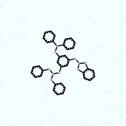 c1ccc(OB(Oc2ccccc2)Oc2cc(OB3Oc4ccccc4O3)cc(OB(c3ccccc3)c3ccccc3)c2)cc1